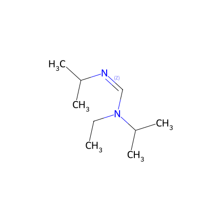 CCN(/C=N\C(C)C)C(C)C